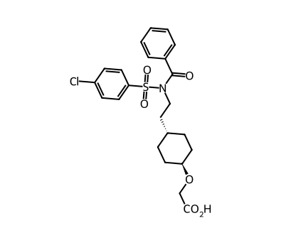 O=C(O)CO[C@H]1CC[C@H](CCN(C(=O)c2ccccc2)S(=O)(=O)c2ccc(Cl)cc2)CC1